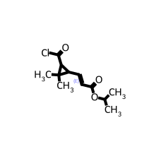 CC(C)OC(=O)/C=C/C1C(C(=O)Cl)C1(C)C